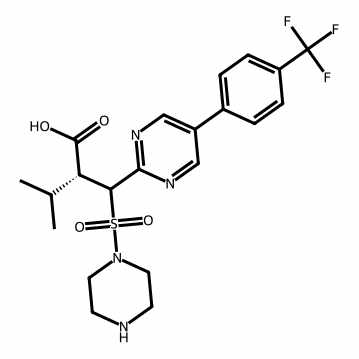 CC(C)[C@H](C(=O)O)C(c1ncc(-c2ccc(C(F)(F)F)cc2)cn1)S(=O)(=O)N1CCNCC1